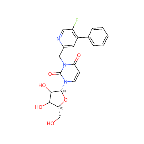 O=c1ccn([C@@H]2O[C@H](CO)C(O)C2O)c(=O)n1Cc1cc(-c2ccccc2)c(F)cn1